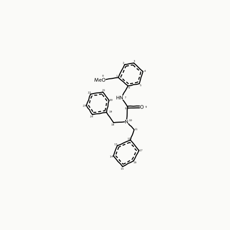 COc1ccccc1NC(=O)N(Cc1ccccc1)Cc1ccccc1